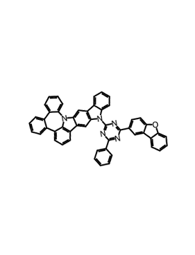 c1ccc(-c2nc(-c3ccc4oc5ccccc5c4c3)nc(-n3c4ccccc4c4cc5c(cc43)c3cccc4c3n5-c3ccccc3-c3ccccc3-4)n2)cc1